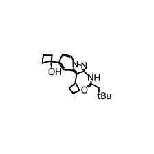 CC(C)(C)CC(=O)Nc1nn2ccc(C3(O)CCC3)cc2c1C1CCC1